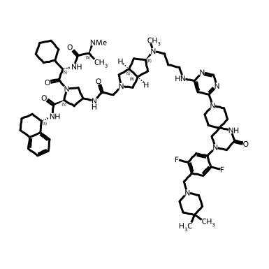 CN[C@@H](C)C(=O)N[C@H](C(=O)N1CC(NC(=O)CN2C[C@H]3C[C@@H](N(C)CCCNc4cc(N5CCC6(CC5)CN(c5cc(F)c(CN7CCC(C)(C)CC7)cc5F)CC(=O)N6)ncn4)C[C@H]3C2)C[C@H]1C(=O)N[C@H]1CCCc2ccccc21)C1CCCCC1